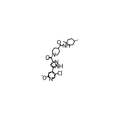 COc1cc(-c2cc(C(=O)N3CCC(C(=O)NC4(C)CCC(C)CC4)CC3)n[nH]2)c(Cl)cn1